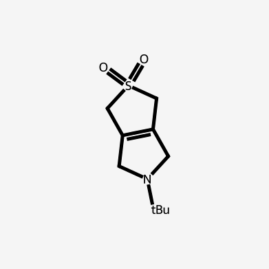 CC(C)(C)N1CC2=C(C1)CS(=O)(=O)C2